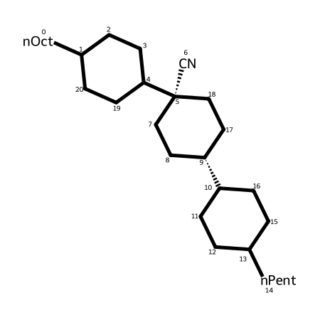 CCCCCCCCC1CCC([C@]2(C#N)CC[C@@H](C3CCC(CCCCC)CC3)CC2)CC1